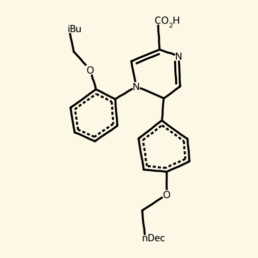 CCCCCCCCCCCOc1ccc(C2C=NC(C(=O)O)=CN2c2ccccc2OCC(C)CC)cc1